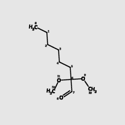 CCCCCCC(C=O)(OC)OC